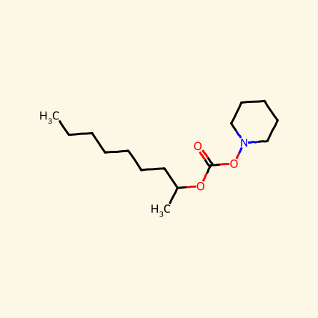 CCCCCCCC(C)OC(=O)ON1CCCCC1